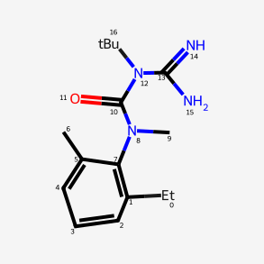 CCc1cccc(C)c1N(C)C(=O)N(C(=N)N)C(C)(C)C